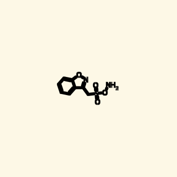 NOS(=O)(=O)Cc1noc2ccccc12